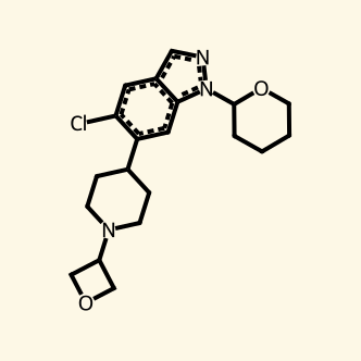 Clc1cc2cnn(C3CCCCO3)c2cc1C1CCN(C2COC2)CC1